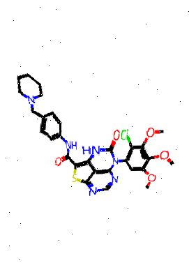 COc1cc(N2C(=O)Nc3c(C(=O)Nc4ccc(CN5CCCCC5)cc4)sc4ncnc2c34)c(Cl)c(OC)c1OC